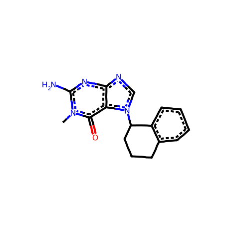 Cn1c(N)nc2ncn(C3CCCc4ccccc43)c2c1=O